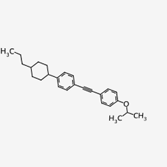 CCCC1CCC(c2ccc(C#Cc3ccc(OC(C)C)cc3)cc2)CC1